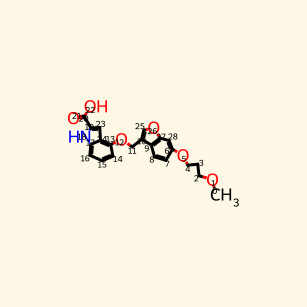 COCCCOc1ccc2c(COc3cccc4[nH]c(C(=O)O)cc34)coc2c1